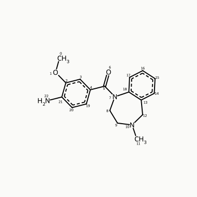 COc1cc(C(=O)N2CCN(C)Cc3ccccc32)ccc1N